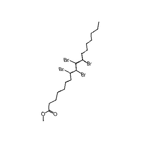 CCCCCCCC(Br)C(Br)C(Br)C(Br)CCCCCCC(=O)OC